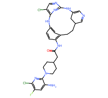 Nc1cc(F)c(Cl)nc1N1CCC(CC(=O)Nc2ccc3cc2CCC2C=NC=C(C2)Nc2ncc(Cl)c(n2)N3)CC1